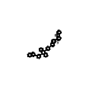 c1cc(-c2ccc3ccccc3c2)cc(-c2c3ccccc3c(-c3ccc(-c4ccc5c(ccc6c5sc5ccc7c8ccccc8oc7c56)c4)cc3)c3ccccc23)c1